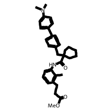 COC(=O)CCc1cccc(NC(=O)C2(Cc3ccc(-c4ccc(N(C)C)cc4)cc3)CCCCC2)c1C